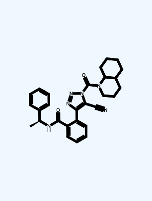 C[C@H](NC(=O)c1ccccc1-c1nnn(C(=O)N2CCCC3CCCCC32)c1C#N)c1ccccc1